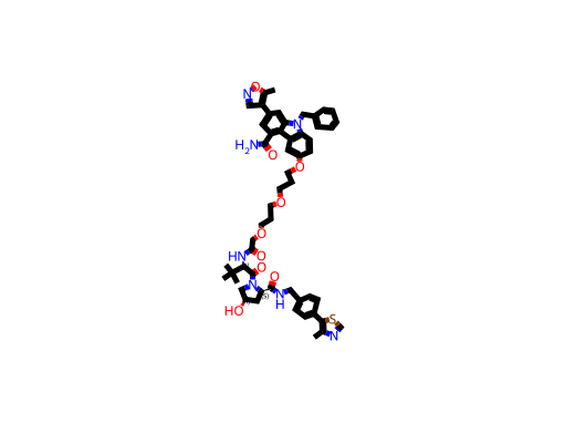 Cc1ncsc1-c1ccc(CNC(=O)[C@@H]2C[C@@H](O)CN2C(=O)[C@@H](NC(=O)COCCCOCCCOc2ccc3c(c2)c2c(C(N)=O)cc(-c4cnoc4C)cc2n3Cc2ccccc2)C(C)(C)C)cc1